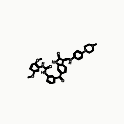 COc1ccc(OC)c(NC(=O)Nc2cccc(C(=O)c3ccc4c(c3)NC(=O)/C4=C/Nc3ccc(N4CCN(C)CC4)cc3)c2)c1